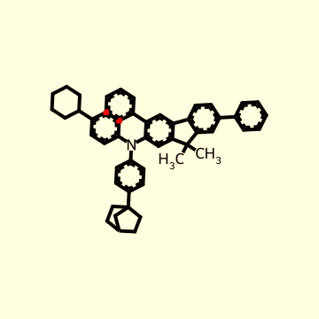 CC1(C)c2cc(-c3ccccc3)ccc2-c2cc(-c3ccccc3)c(N(c3ccc(C4CCCCC4)cc3)c3ccc(C45CCC(CC4)C5)cc3)cc21